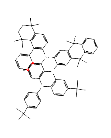 Cc1cc2c3c(c1)N(c1ccc4c(c1-c1ccccc1)C(C)(C)CCC4(C)C)c1cc4c(cc1B3c1cc(C(C)(C)C)ccc1N2c1ccc(C(C)(C)C)cc1)C(C)(C)c1ccccc1C4(C)C